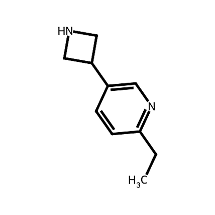 CCc1ccc(C2CNC2)cn1